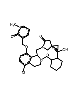 Cn1cccc(COc2ccc(Cl)c3c2C(CN2CC4(CC4)CC2=O)N(C(=O)C2CCCCC2C(=O)O)CC3)c1=O